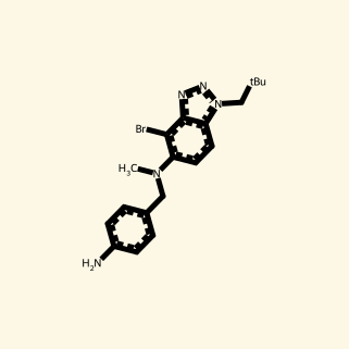 CN(Cc1ccc(N)cc1)c1ccc2c(nnn2CC(C)(C)C)c1Br